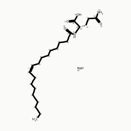 CCCCCCCC/C=C\CCCCCCCC(=O)N[C@@H](CCC(N)=O)C(=O)O.[NaH]